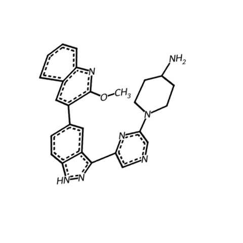 COc1nc2ccccc2cc1-c1ccc2[nH]nc(-c3cncc(N4CCC(N)CC4)n3)c2c1